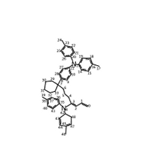 C=C/C=C(\CCCC1(c2ccc(N(c3ccc(C)cc3)c3ccc(C)cc3)cc2)CCCCC1)N(c1ccc(C)cc1)C1C=CC(C)=CC1